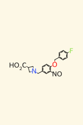 O=Nc1cc(CN2CC(C(=O)O)C2)ccc1OCc1ccc(F)cc1